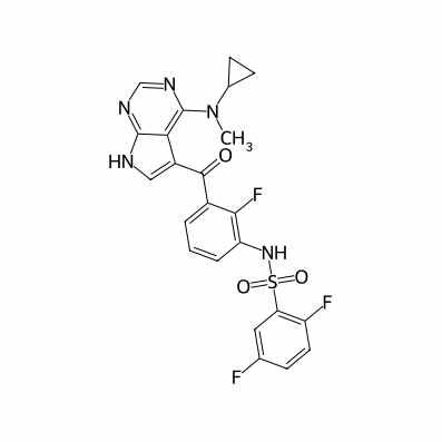 CN(c1ncnc2[nH]cc(C(=O)c3cccc(NS(=O)(=O)c4cc(F)ccc4F)c3F)c12)C1CC1